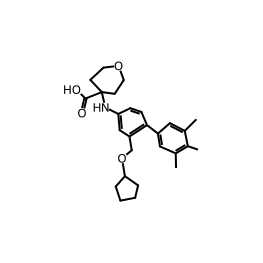 Cc1cc(-c2ccc(NC3(C(=O)O)CCOCC3)cc2COC2CCCC2)cc(C)c1C